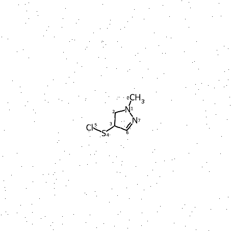 CN1CC(SCl)C=N1